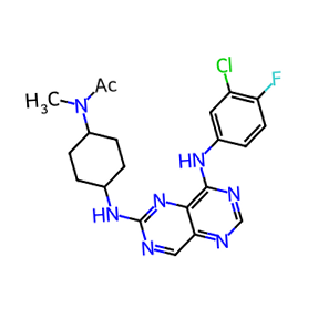 CC(=O)N(C)C1CCC(Nc2ncc3ncnc(Nc4ccc(F)c(Cl)c4)c3n2)CC1